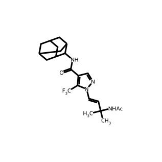 CC(=O)NC(C)(C)/C=C/n1ncc(C(=O)NC2C3CC4CC(C3)CC2C4)c1C(F)(F)F